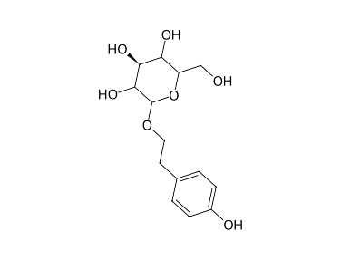 OCC1OC(OCCc2ccc(O)cc2)C(O)[C@@H](O)C1O